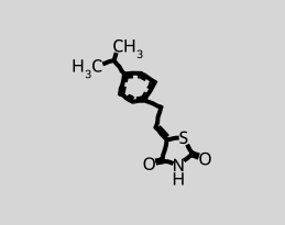 CC(C)c1ccc(CC=C2SC(=O)NC2=O)cc1